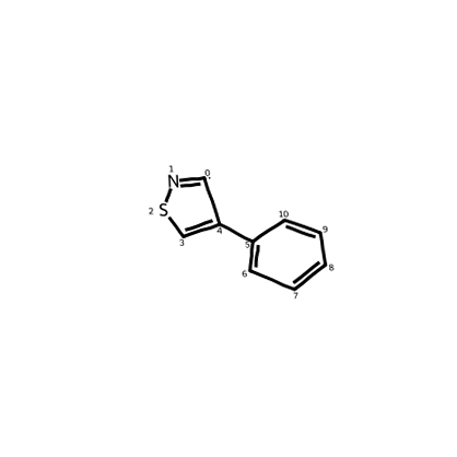 [c]1nscc1-c1ccccc1